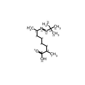 CC(CCCCC(C)C(=O)O)N=NC(C)(C)C